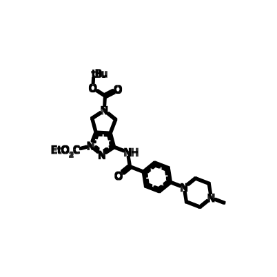 CCOC(=O)n1nc(NC(=O)c2ccc(N3CCN(C)CC3)cc2)c2c1CN(C(=O)OC(C)(C)C)C2